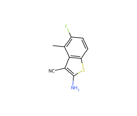 Cc1c(F)ccc2sc(N)c(C#N)c12